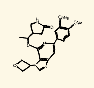 COc1ccc(-c2cc3ncn(C4COC4)c3c(OC(C)C3CNC(=O)C3)n2)cc1OC